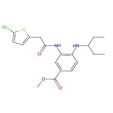 CCC(CC)Nc1ccc(C(=O)OC)cc1NC(=O)Cc1ccc(Cl)s1